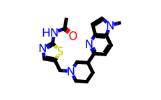 CC(=O)Nc1ncc(CN2CCCC(c3ccc4c(ccn4C)n3)C2)s1